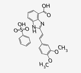 COc1ccc(/C=C/c2nc3c(C(=O)O)cccc3[nH]2)cc1OC.O=S(=O)(O)c1ccccc1